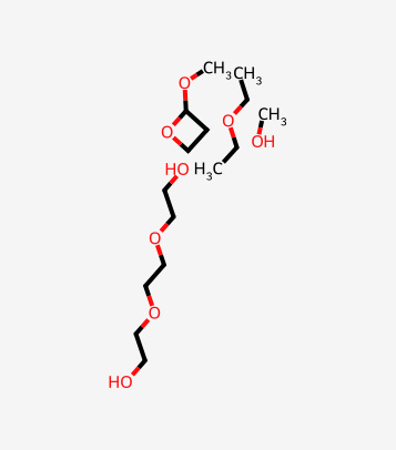 CCOCC.CO.COC1CCO1.OCCOCCOCCO